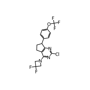 FC1(F)CN(c2nc(Cl)nc3c2CCC3c2ccc(OC(F)(F)F)cc2)C1